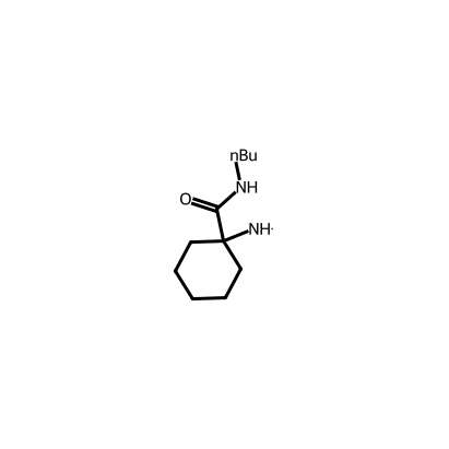 CCCCNC(=O)C1([NH])CCCCC1